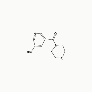 CC(C)(C)c1cncc(C(=O)N2CCOCC2)c1